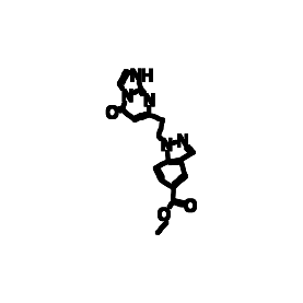 CCOC(=O)c1ccc2c(cnn2CCc2cc(=O)n3cc[nH]c3n2)c1